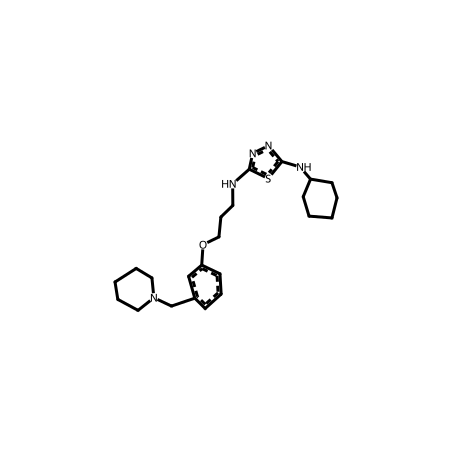 c1cc(CN2CCCCC2)cc(OCCCNc2nnc(NC3CCCCC3)s2)c1